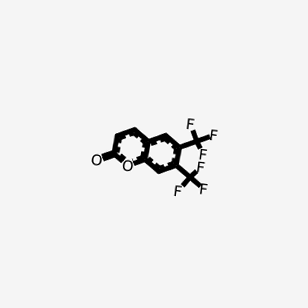 O=c1ccc2cc(C(F)(F)F)c(C(F)(F)F)cc2o1